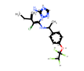 C=C(CC)/C(Cl)=C(/NC(C)c1ccc(OC(F)(F)C(F)F)cc1)n1ncnc1N